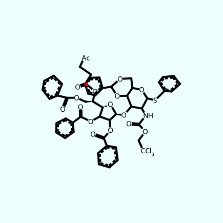 CC(=O)CCC(=O)O[C@H](COC(=O)c1ccccc1)[C@@H]1O[C@@H](OC2C(NC(=O)OCC(Cl)(Cl)Cl)C(Sc3ccccc3)OC3COC(c4ccccc4)OC32)C(OC(=O)c2ccccc2)C1OC(=O)c1ccccc1